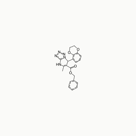 CC1=C(C(=O)OCc2ccccc2)C(c2cccc3c2OCCO3)n2nnnc2N1